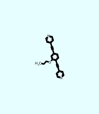 CCCOc1cc(C#Cc2ccncc2)ccc1C#Cc1ccncc1